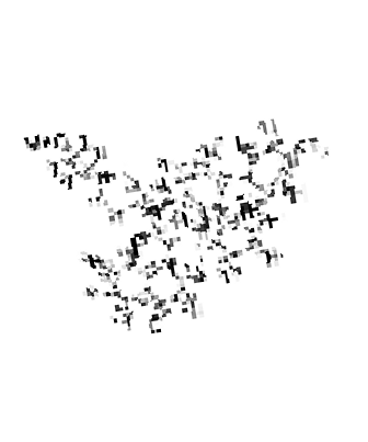 [2H]c1c([2H])c(F)c(F)c(CSc2c([2H])c(=O)c3c([2H])c(C)c([2H])c([2H])c3n2CC(=O)N(C2CCN(C([2H])([2H])C([2H])([2H])OC)CC2)C([2H])([2H])c2c([2H])c([2H])c(-c3c([2H])c([2H])c(C(F)(F)F)c([2H])c3[2H])c([2H])c2[2H])c1[2H]